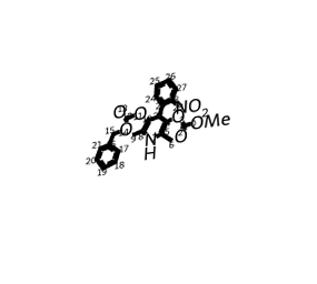 COC(=O)OC1=C(C)NC(C)=C(OC(=O)OCc2ccccc2)C1c1ccccc1[N+](=O)[O-]